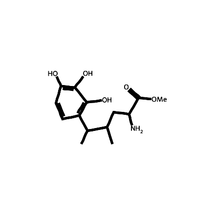 COC(=O)C(N)CC(C)C(C)c1ccc(O)c(O)c1O